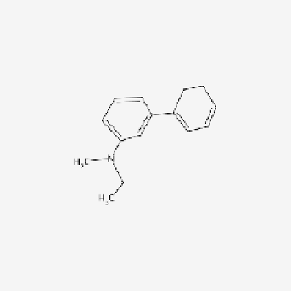 CCN(C)c1cccc(C2=CC=CCC2)c1